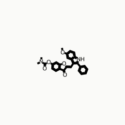 COc1ccc2[nH]c(-c3ccccc3)c(/C=C3\Oc4cc(OC(=O)N(C)C)ccc4C3=O)c2c1